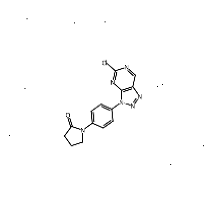 O=C1CCCN1c1ccc(-n2nnc3cnc(Cl)nc32)cc1